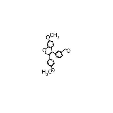 COc1ccc(C2=C(c3cccc(C=O)c3)c3ccc(OC)cc3OC2)cc1